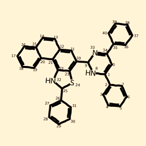 C1=C(c2ccccc2)NC(c2cc3ccc4ccccc4c3c3c2SC(c2ccccc2)N3)N=C1c1ccccc1